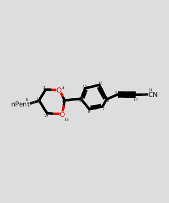 CCCCCC1COC(c2ccc(C#CC#N)cc2)OC1